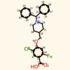 O=C(O)c1cc(Cl)c(OCC2CCN(C(c3ccccc3)c3ccccc3)CC2)cc1F